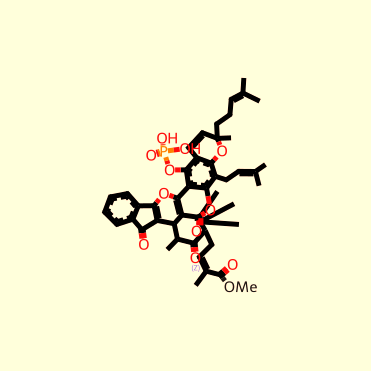 COC(=O)/C(C)=C\CC12OC(C)(C)C(C)C13Oc1c(CC=C(C)C)c4c(c(OP(=O)(O)O)c1C1=C3C(C3=C(O1)c1ccccc1C3=O)C(C)C2=O)C=CC(C)(CCC=C(C)C)O4